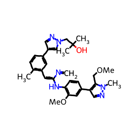 C=N/C(=C\c1cc(-c2cnn(CC(C)(C)O)c2)ccc1C)Nc1ccc(-c2cnn(C)c2COC)cc1OC